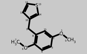 COc1ccc(OC)c(Cc2ccsc2)c1